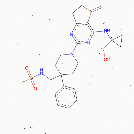 C=S1CCc2nc(N3CCC(CNS(C)(=O)=O)(c4ccccc4)CC3)nc(NC3(CO)CC3)c21